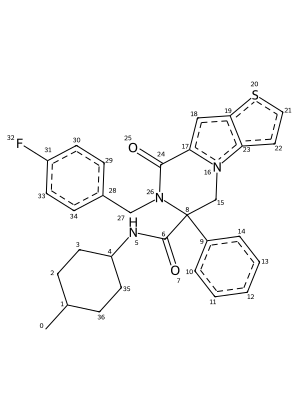 CC1CCC(NC(=O)C2(c3ccccc3)Cn3c(cc4sccc43)C(=O)N2Cc2ccc(F)cc2)CC1